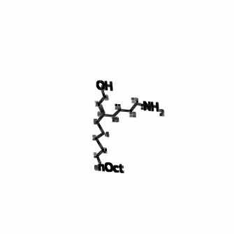 CCCCCCCCCCCCCC(=CCO)CCCCN